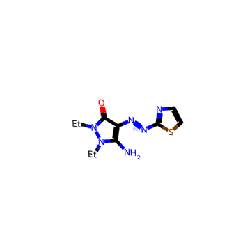 CCn1c(N)c(/N=N/c2nccs2)c(=O)n1CC